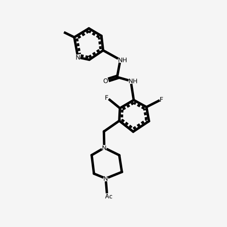 CC(=O)N1CCN(Cc2ccc(F)c(NC(=O)Nc3ccc(C)nc3)c2F)CC1